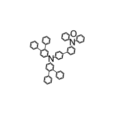 c1ccc(-c2ccc(N(c3ccc(-c4cccc(N5c6ccccc6Oc6ccccc65)c4)cc3)c3ccc(-c4ccccc4)c(-c4ccccc4)c3)cc2-c2ccccc2)cc1